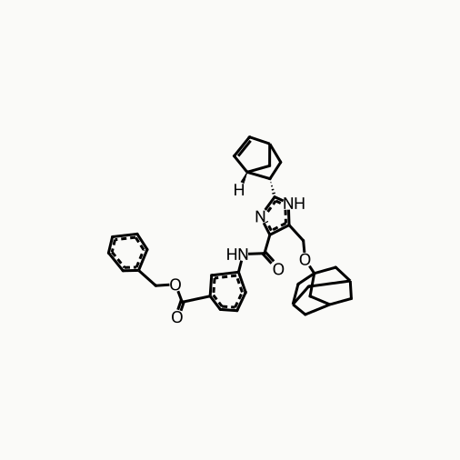 O=C(OCc1ccccc1)c1cccc(NC(=O)c2nc([C@H]3CC4C=C[C@@H]3C4)[nH]c2COC23CC4CC(CC(C4)C2)C3)c1